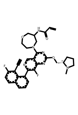 C#Cc1c(F)ccc2cccc(-c3ncc4c(N5CCOCC(NC(=O)C=C)C5)nc(OC[C@@H]5CCCN5C)nc4c3F)c12